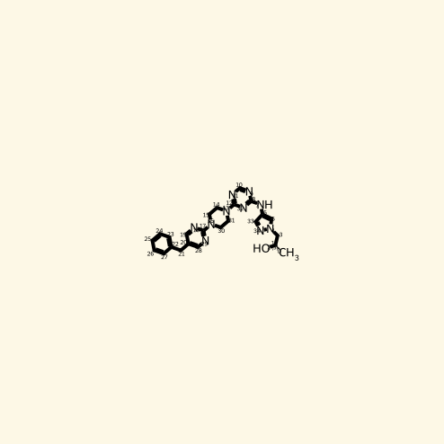 C[C@H](O)Cn1cc(Nc2ncnc(N3CCN(c4ncc(Cc5ccccc5)cn4)CC3)n2)cn1